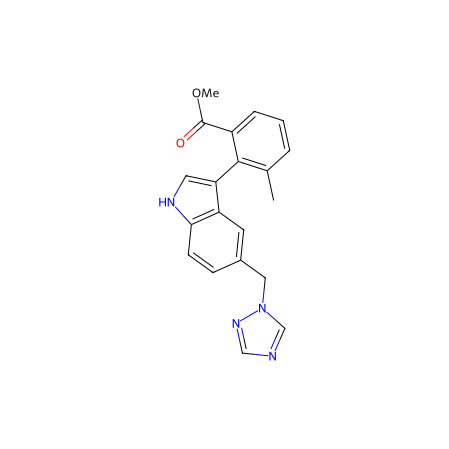 COC(=O)c1cccc(C)c1-c1c[nH]c2ccc(Cn3cncn3)cc12